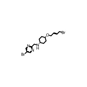 BrCC=CCO[C@H]1CC[C@H](NCc2ncc(Br)cn2)CC1